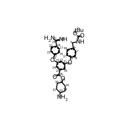 CC(C)(C)OC(=O)NCc1ccc(Oc2cc(Oc3ccc(C(=N)N)cc3)cc(C(=O)OC3CCC(N)CC3)c2)cc1